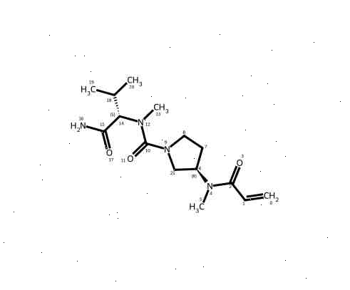 C=CC(=O)N(C)[C@@H]1CCN(C(=O)N(C)[C@H](C(N)=O)C(C)C)C1